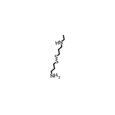 CCNCCCSSCCCN